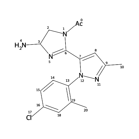 CC(=O)N1CC(N)N=C1c1cc(C)nn1-c1ccc(Cl)cc1C